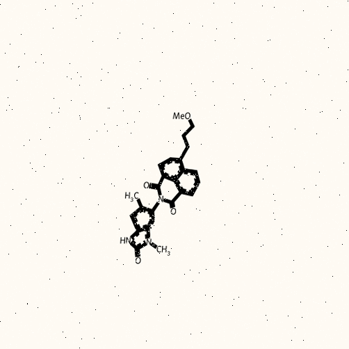 COCCCc1ccc2c3c(cccc13)C(=O)N(c1cc3c(cc1C)[nH]c(=O)n3C)C2=O